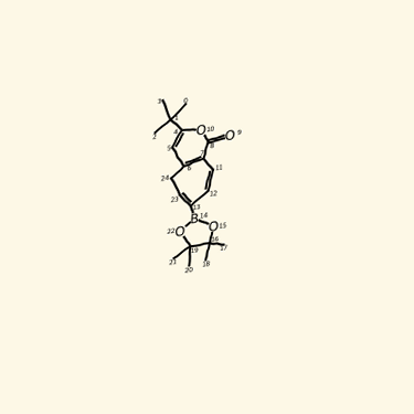 CC(C)(C)c1cc2c(c(=O)o1)C=CC(B1OC(C)(C)C(C)(C)O1)=CC2